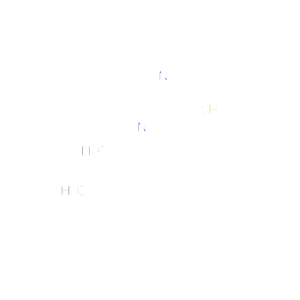 CC1(C)CCc2ccccc2C1n1ccnc1S